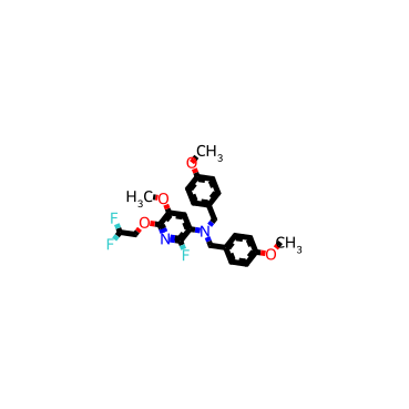 COc1ccc(CN(Cc2ccc(OC)cc2)c2cc(OC)c(OCC(F)F)nc2F)cc1